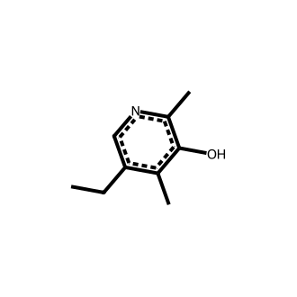 CCc1cnc(C)c(O)c1C